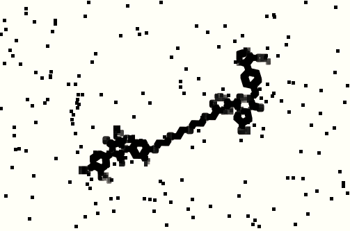 Cc1ncsc1-c1ccc(CNC(=O)[C@@H]2CC(O)CN2C(=O)C(NC(=O)COCCOCCOCCOc2ccc(N3C(=S)N(c4ccc(C#N)c(C(F)(F)F)c4)C(=O)C3(C)C)cc2F)C(C)(C)C)cc1